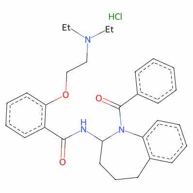 CCN(CC)CCOc1ccccc1C(=O)NC1CCCc2ccccc2N1C(=O)c1ccccc1.Cl